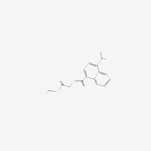 CC(O)c1ccc(C(=O)NCC(=O)NCC(F)(F)F)c2ccccc12